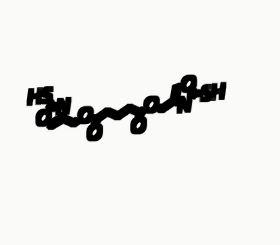 O=C(CCCC(=O)OCc1coc(S)n1)OCc1coc(S)n1